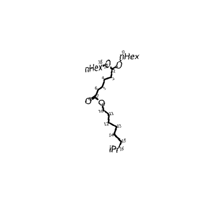 CCCCCCOC(CCCCC(=O)OCCCCCCC(C)C)OCCCCCC